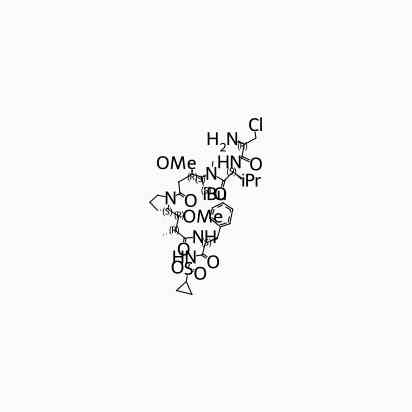 CC[C@H](C)[C@@H]([C@@H](CC(=O)N1CCC[C@H]1[C@H](OC)[C@@H](C)C(=O)N[C@@H](Cc1ccccc1)C(=O)NS(=O)(=O)C1CC1)OC)N(C)C(=O)[C@@H](NC(=O)[C@@H](N)CCl)C(C)C